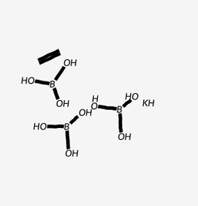 C=C.OB(O)O.OB(O)O.OB(O)O.[KH]